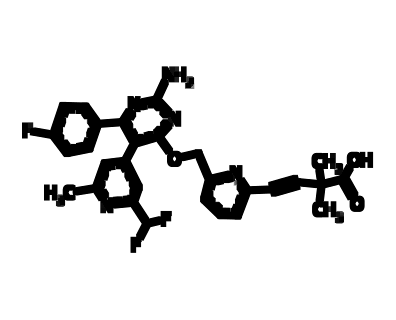 Cc1cc(-c2c(OCc3cccc(C#CC(C)(C)C(=O)O)n3)nc(N)nc2-c2ccc(F)cc2)cc(C(F)F)n1